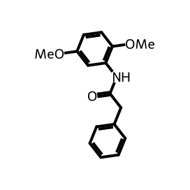 COc1ccc(OC)c(NC(=O)Cc2ccccc2)c1